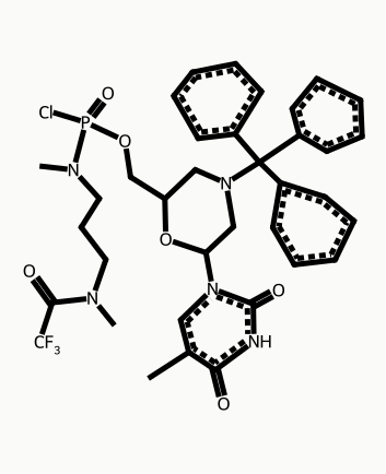 Cc1cn(C2CN(C(c3ccccc3)(c3ccccc3)c3ccccc3)CC(COP(=O)(Cl)N(C)CCCN(C)C(=O)C(F)(F)F)O2)c(=O)[nH]c1=O